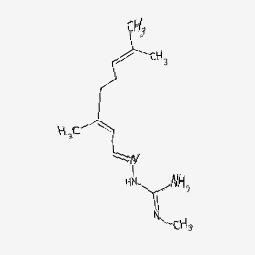 C/N=C(\N)N/N=C/C=C(\C)CCC=C(C)C